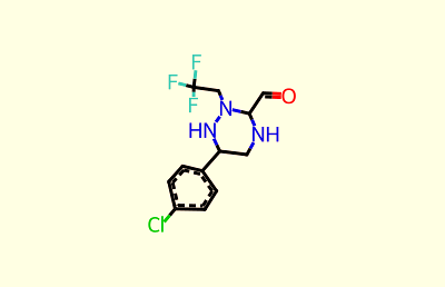 O=CC1NCC(c2ccc(Cl)cc2)NN1CC(F)(F)F